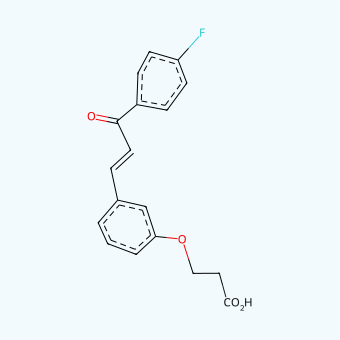 O=C(O)CCOc1cccc(C=CC(=O)c2ccc(F)cc2)c1